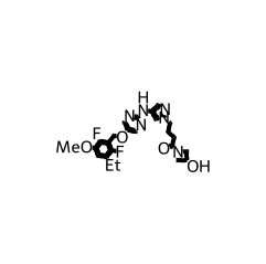 CCc1cc(OC)c(F)c(COc2cnc(Nc3cnn(CCCC(=O)N4CC(O)C4)c3)nc2)c1F